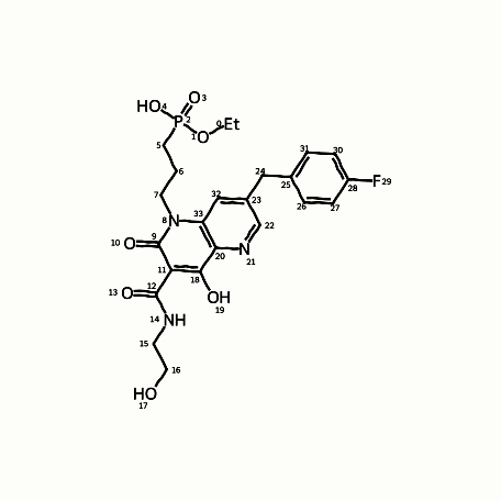 CCOP(=O)(O)CCCn1c(=O)c(C(=O)NCCO)c(O)c2ncc(Cc3ccc(F)cc3)cc21